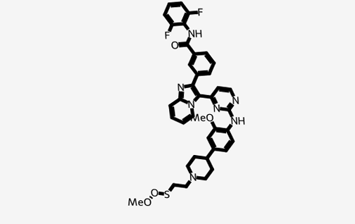 COOSCCN1CCC(c2ccc(Nc3nccc(-c4c(-c5cccc(C(=O)Nc6c(F)cccc6F)c5)nc5ccccn45)n3)c(OC)c2)CC1